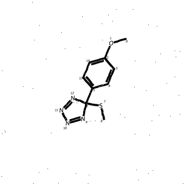 COc1[c]cc(C2(SC)N=NN=N2)cc1